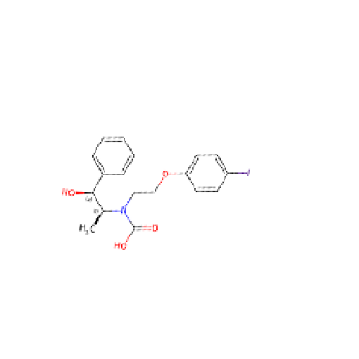 C[C@@H]([C@@H](O)c1ccccc1)N(CCOc1ccc(I)cc1)C(=O)O